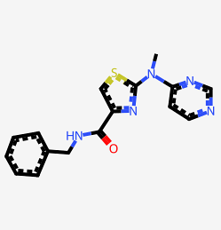 CN(c1ccncn1)c1nc(C(=O)NCc2ccccc2)cs1